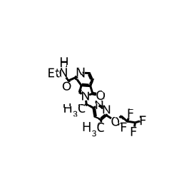 CCNC(=O)c1nccc2c1CN(C(C)c1cc(C)c(OCC(F)(F)C(F)F)nn1)C2=O